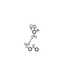 CC(C(=O)OCCCCOC(=O)c1cc(Br)c(N)c(CN2CCCC2)c1)c1cccc(C(=O)c2ccccc2)c1